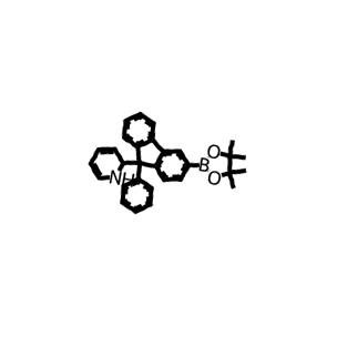 CC1(C)OB(c2ccc3c(c2)-c2ccccc2C3(c2ccccc2)C2C=CC=CN2)OC1(C)C